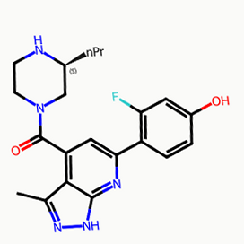 CCC[C@H]1CN(C(=O)c2cc(-c3ccc(O)cc3F)nc3[nH]nc(C)c23)CCN1